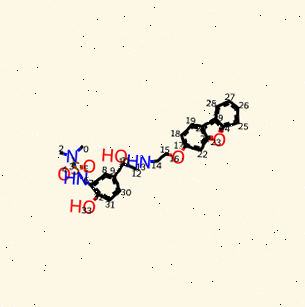 CN(C)S(=O)(=O)Nc1cc([C@H](O)CNCCOc2ccc3c(c2)oc2ccccc23)ccc1O